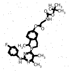 Cc1nc(Nc2ccc(F)cc2)nc(N2CCc3cc(OC(=O)CNC(=O)OC(C)(C)C)ccc3C2C)c1C